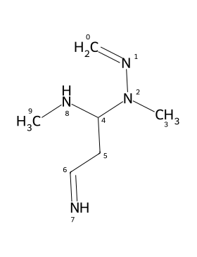 C=NN(C)C(CC=N)NC